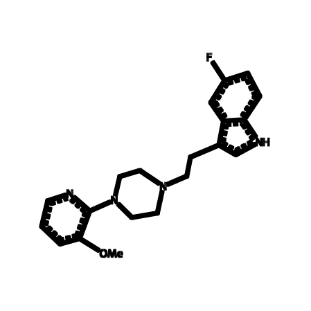 COc1cccnc1N1CCN(CCc2c[nH]c3ccc(F)cc23)CC1